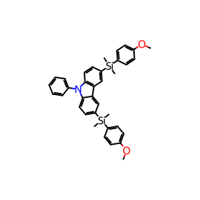 COc1ccc([Si](C)(C)c2ccc3c(c2)c2cc([Si](C)(C)c4ccc(OC)cc4)ccc2n3-c2ccccc2)cc1